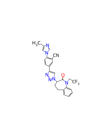 Cc1cn(-c2ccc(-c3cn(C4CCc5ccccc5N(CC(F)(F)F)C4=O)nn3)cc2C#N)cn1